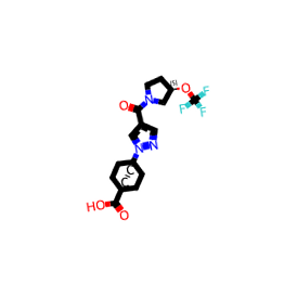 O=C(c1cnn(C23CCC(C(=O)O)(CC2)CC3)c1)N1CC[C@H](OC(F)(F)F)C1